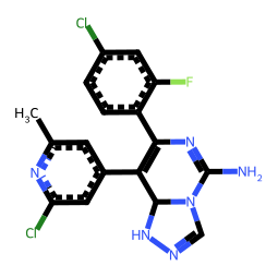 Cc1cc(C2=C(c3ccc(Cl)cc3F)N=C(N)N3C=NNC23)cc(Cl)n1